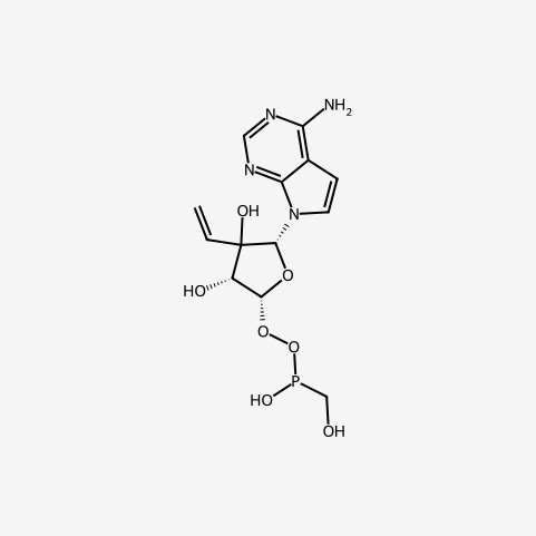 C=CC1(O)[C@@H](O)[C@@H](OOP(O)CO)O[C@H]1n1ccc2c(N)ncnc21